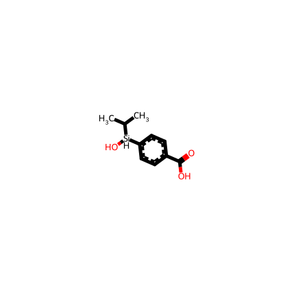 CC(C)[SiH](O)c1ccc(C(=O)O)cc1